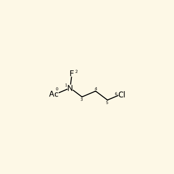 CC(=O)N(F)CCCCl